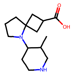 CC1CNCCC1N1CCCC12CC(C(=O)O)C2